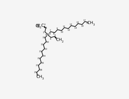 C=CC[N+](CC=C)(CCCCCCCCCCCC)CCCCCCCCCCCC.[Cl-]